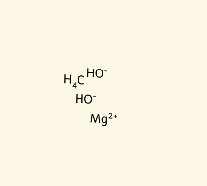 C.[Mg+2].[OH-].[OH-]